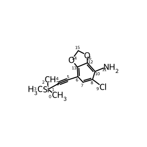 C[Si](C)(C)C#Cc1cc(Cl)c(N)c2c1OCO2